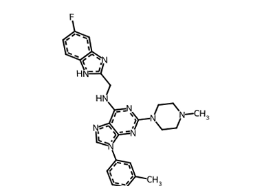 Cc1cccc(-n2cnc3c(NCc4nc5cc(F)ccc5[nH]4)nc(N4CCN(C)CC4)nc32)c1